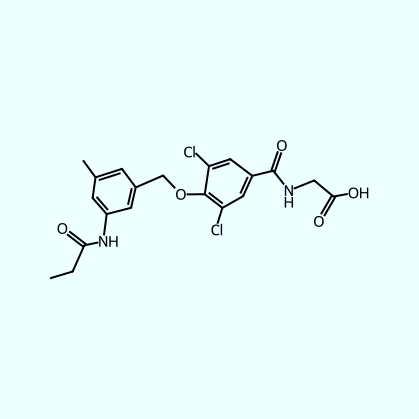 CCC(=O)Nc1cc(C)cc(COc2c(Cl)cc(C(=O)NCC(=O)O)cc2Cl)c1